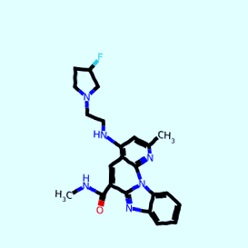 CNC(=O)c1cc2c(NCCN3CCC(F)C3)cc(C)nc2n2c1nc1ccccc12